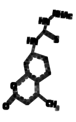 CC(=O)NNC(=S)Nc1ccc2c(C)cc(=O)oc2c1